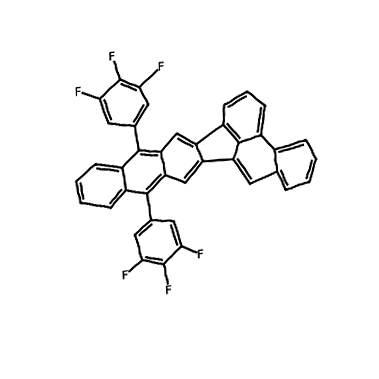 Fc1cc(-c2c3ccccc3c(-c3cc(F)c(F)c(F)c3)c3cc4c(cc23)-c2cccc3c2c-4cc2ccccc23)cc(F)c1F